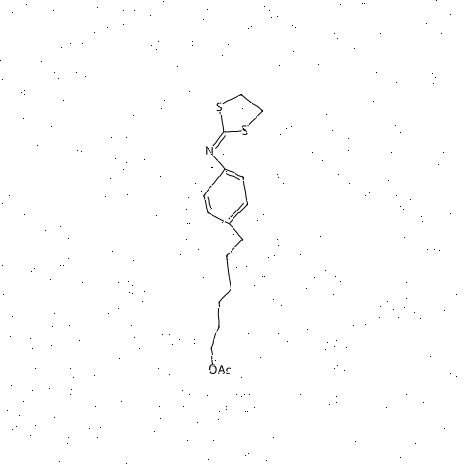 CC(=O)OCCCCCCc1ccc(N=C2SCCS2)cc1